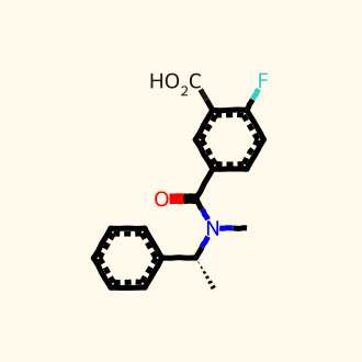 C[C@H](c1ccccc1)N(C)C(=O)c1ccc(F)c(C(=O)O)c1